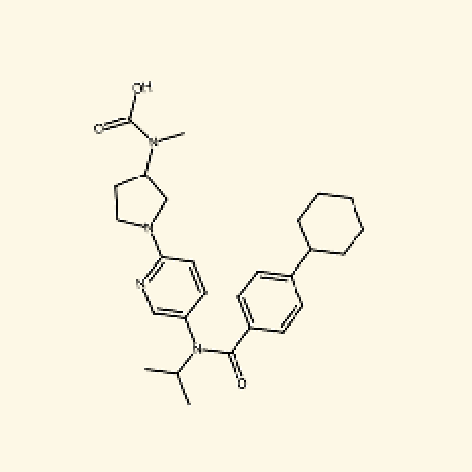 CC(C)N(C(=O)c1ccc(C2CCCCC2)cc1)c1ccc(N2CCC(N(C)C(=O)O)C2)nc1